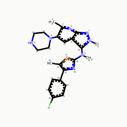 CCn1nc2nc(C)c(N3CCNCC3)cc2c1N(C)c1nc(-c2ccc(F)cc2)c(C#N)s1